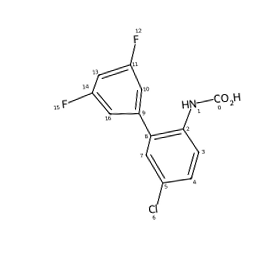 O=C(O)Nc1ccc(Cl)cc1-c1cc(F)cc(F)c1